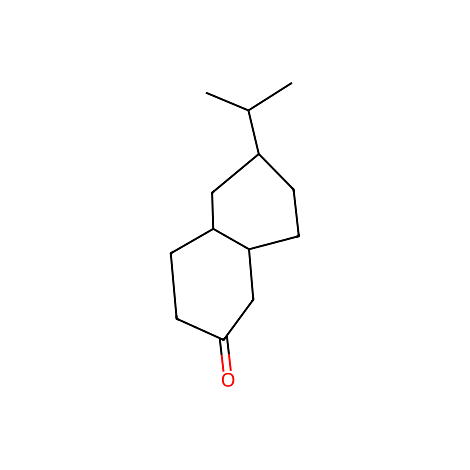 CC(C)C1CCC2CC(=O)CCC2C1